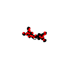 C1=CCC(c2ccc3c(c2)c2cc(-c4ccccc4)ccc2n3-c2c3c(c(-c4ccc5oc6cc(-c7c8ccccc8c(-n8c9ccc(-c%10ccccc%10)cc9c9cc(C%10C=CC=CC%10)ccc98)c8ccccc78)ccc6c5c4)c4ccccc24)C=CCC3)C=C1